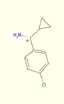 N[C@@H](c1ccc(Cl)cc1)C1CC1